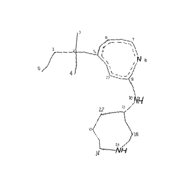 CCC(C)(C)c1ccnc(NC2CCCNC2)c1